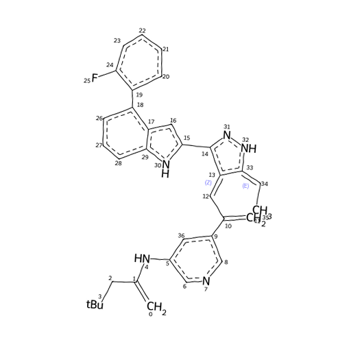 C=C(CC(C)(C)C)Nc1cncc(C(=C)/C=c2/c(-c3cc4c(-c5ccccc5F)cccc4[nH]3)n[nH]/c2=C/C)c1